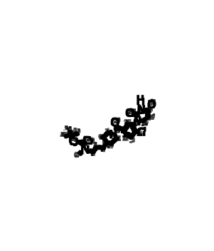 CN(CCCC1CCN(C(=O)c2ccc(Cl)c(N3CCC(=O)NC3=O)c2)CC1)C(=O)OC(C)(C)C